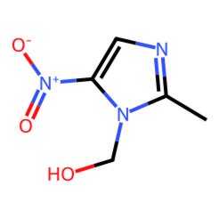 Cc1ncc([N+](=O)[O-])n1CO